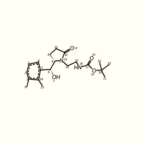 Cc1cccc([C@@H](O)[C@@H]2CCC(=O)N2CCNC(=O)OC(C)(C)C)c1C